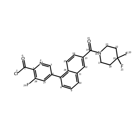 O=C(Cl)c1ncc(-c2cccc3cc(C(=O)N4CCC(F)(F)CC4)ccc23)cc1F